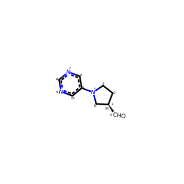 O=C[C@@H]1CCN(c2cncnc2)C1